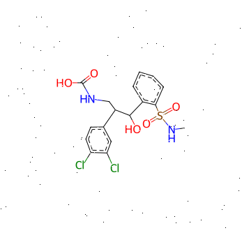 CNS(=O)(=O)c1ccccc1C(O)C(CNC(=O)O)c1ccc(Cl)c(Cl)c1